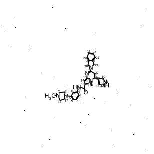 CN1CCN(c2cccc(NC(=O)c3cc4nc(N5Cc6ccccc6C5)cc(-c5cn[nH]c5)n4n3)c2)CC1